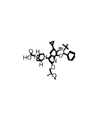 CO[C@@H](C)COc1cc(N2C[C@@H]3C[C@H]2CN3C(=O)O)c2cc(C3CC3)c(Br)c(O[C@@H](CC(C)(C)C)c3ccccc3)c2n1